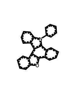 c1ccc(-n2c3ccccc3c3c4c5ccccc5oc4c4ccccc4c32)cc1